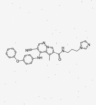 Cc1c(C(=O)NCCCn2ccnc2)cn2ncc(C#N)c(Nc3ccc(Oc4ccccc4)cc3)c12